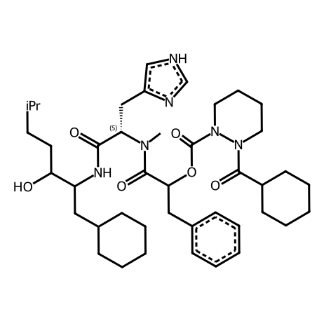 CC(C)CCC(O)C(CC1CCCCC1)NC(=O)[C@H](Cc1c[nH]cn1)N(C)C(=O)C(Cc1ccccc1)OC(=O)N1CCCCN1C(=O)C1CCCCC1